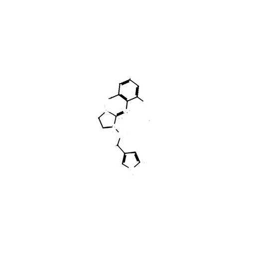 Cl.Clc1cccc(Cl)c1/N=C1\NCCN1OCc1ccoc1